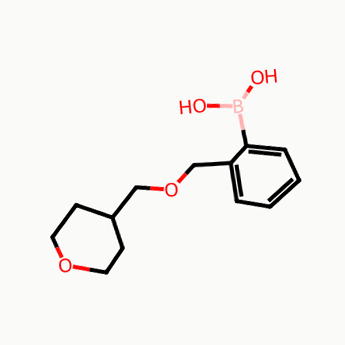 OB(O)c1ccccc1COCC1CCOCC1